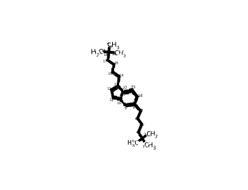 CC(C)(C)CCCCC1=CC2=CC=C(CCCCC(C)(C)C)C2=CC1